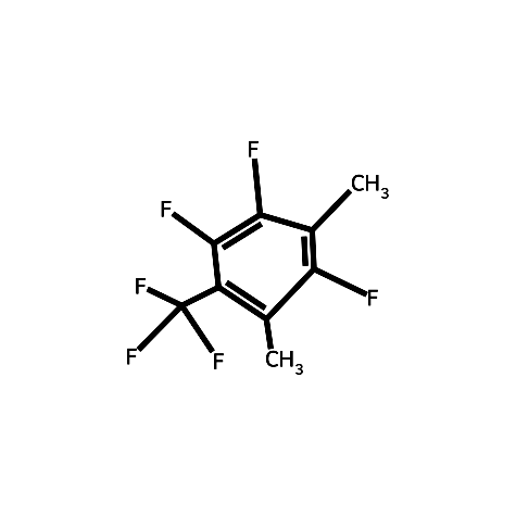 Cc1c(F)c(C)c(C(F)(F)F)c(F)c1F